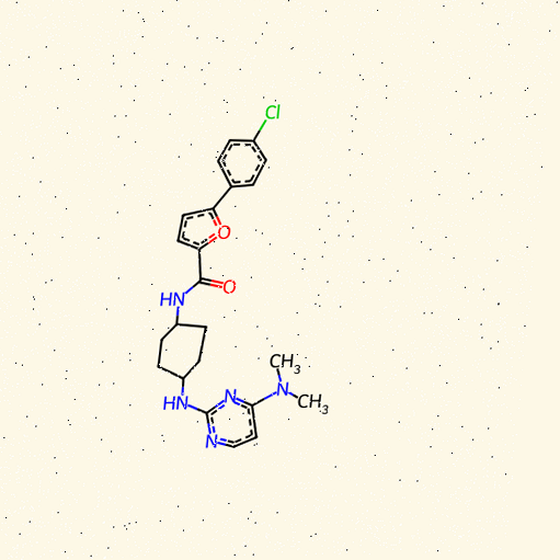 CN(C)c1ccnc(NC2CCC(NC(=O)c3ccc(-c4ccc(Cl)cc4)o3)CC2)n1